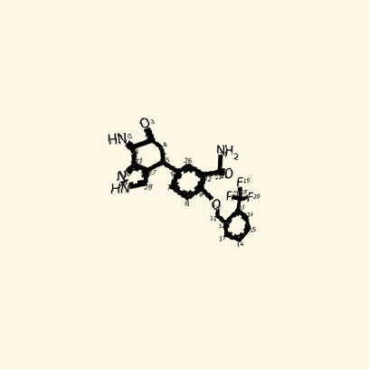 N=C1C(=O)CC(c2ccc(OCc3ccccc3C(F)(F)F)c(C(N)=O)c2)c2c[nH]nc21